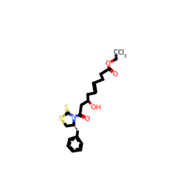 O=C(CCC=CCC(O)CC(=O)N1C(=S)SC[C@H]1Cc1ccccc1)OCC(Cl)(Cl)Cl